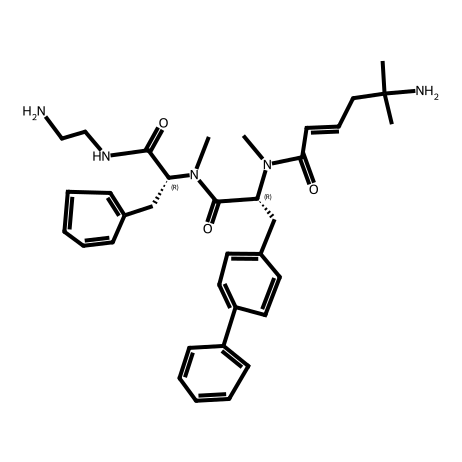 CN(C(=O)C=CCC(C)(C)N)[C@H](Cc1ccc(-c2ccccc2)cc1)C(=O)N(C)[C@H](Cc1ccccc1)C(=O)NCCN